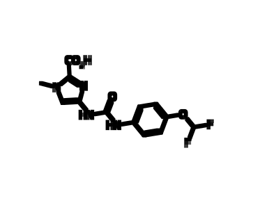 Cn1cc(NC(=O)Nc2ccc(OC(F)F)cc2)nc1C(=O)O